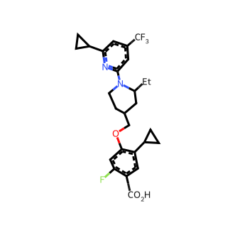 CCC1CC(COc2cc(F)c(C(=O)O)cc2C2CC2)CCN1c1cc(C(F)(F)F)cc(C2CC2)n1